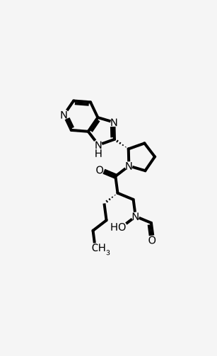 CCCC[C@@H](CN(O)C=O)C(=O)N1CCC[C@H]1c1nc2ccncc2[nH]1